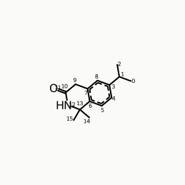 CC(C)c1ccc2c(c1)CC(=O)NC2(C)C